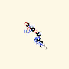 Cn1ccc(-c2cn(-c3cncc(COc4ccc(C(=O)NC5CCOCC5)c(N)c4)c3)c3ncnc(N)c23)n1